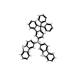 c1ccc(C2(c3ccccc3)c3ccccc3-c3cc(N(c4ccc5c(c4)oc4ccccc45)c4ccc5oc6ccccc6c5c4)ccc32)cc1